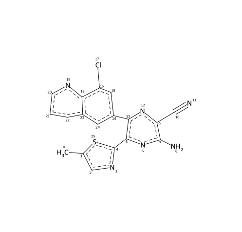 Cc1cnc(-c2nc(N)c(C#N)nc2-c2cc(Cl)c3ncccc3c2)s1